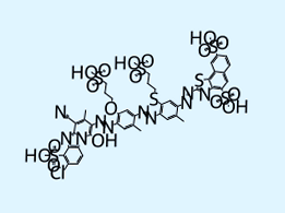 Cc1cc(N=Nc2cc(OCCCS(=O)(=O)O)c(N=Nc3c(C)c(C#N)c4nc5c(S(=O)(=O)O)c(Cl)ccc5n4c3O)cc2C)c(SCCCS(=O)(=O)O)cc1N=Nc1nc2c(S(=O)(=O)O)cc3ccc(S(=O)(=O)O)cc3c2s1